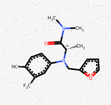 C[C@@H](C(=O)N(C)C)N(Cc1ccco1)c1ccc(C#N)c(C(F)(F)F)c1